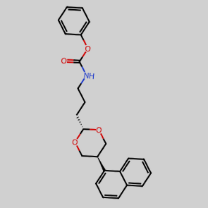 O=C(NCCC[C@H]1OC[C@H](c2cccc3ccccc32)CO1)Oc1ccccc1